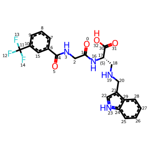 O=C(CNC(=O)c1cccc(C(F)(F)F)c1)N[C@@H](CNCc1c[nH]c2ccccc12)C(=O)O